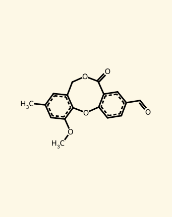 COc1cc(C)cc2c1Oc1ccc(C=O)cc1C(=O)OC2